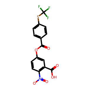 O=C(Oc1ccc([N+](=O)[O-])c(C(=O)O)c1)c1ccc(SC(F)(F)F)cc1